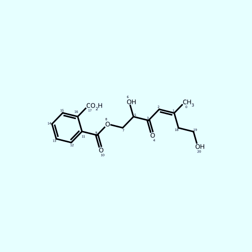 CC(=CC(=O)C(O)COC(=O)c1ccccc1C(=O)O)CCO